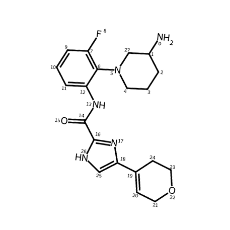 NC1CCCN(c2c(F)cccc2NC(=O)c2nc(C3=CCOCC3)c[nH]2)C1